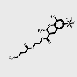 Cc1cc(S(F)(F)(F)(F)F)cc2c1O[C@H](C(F)(F)F)C(C(=O)OCCOC(=O)CCO[N+](=O)[O-])=C2